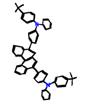 CC(C)(C)c1ccc(N(c2ccccc2)c2ccc(-c3cc4cc(-c5ccc(N(c6ccccc6)c6ccc(C(C)(C)C)cc6)cc5)c5ccccc5c4c4ccccc34)cc2)cc1